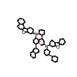 c1ccc(-c2cccc(N(c3cccc(-c4ccccc4N(c4ccc(-c5ccc6ccccc6c5)cc4)c4ccc5c(c4)oc4ccc6ccccc6c45)c3)c3ccc4c(c3)oc3ccccc34)c2)cc1